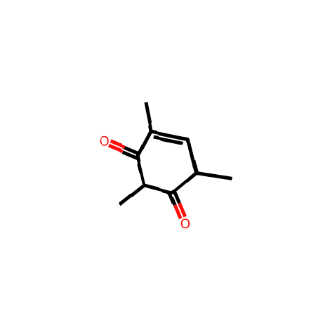 CC1=CC(C)C(=O)C(C)C1=O